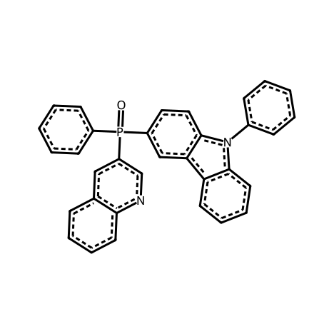 O=P(c1ccccc1)(c1cnc2ccccc2c1)c1ccc2c(c1)c1ccccc1n2-c1ccccc1